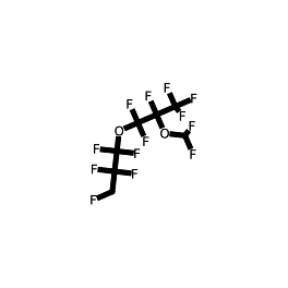 FCC(F)(F)C(F)(F)OC(F)(F)C(F)(OC(F)F)C(F)(F)F